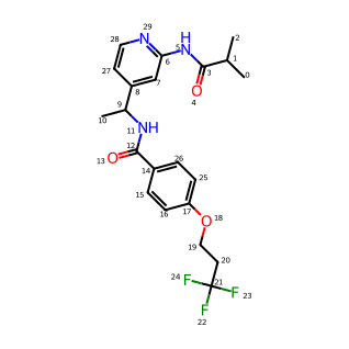 CC(C)C(=O)Nc1cc(C(C)NC(=O)c2ccc(OCCC(F)(F)F)cc2)ccn1